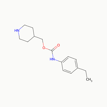 CCc1ccc(NC(=O)OCC2CCNCC2)cc1